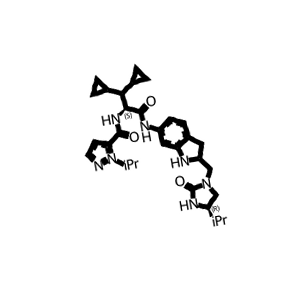 CC(C)[C@@H]1CN(CC2Cc3ccc(NC(=O)[C@@H](NC(=O)c4ccnn4C(C)C)C(C4CC4)C4CC4)cc3N2)C(=O)N1